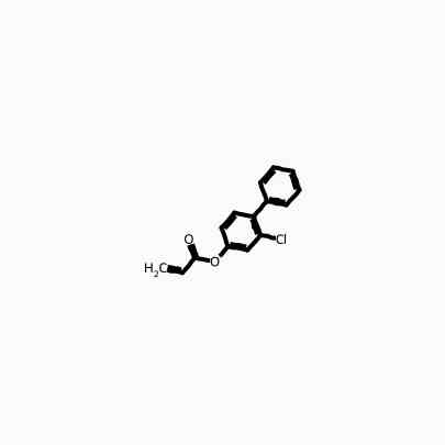 C=CC(=O)Oc1ccc(-c2ccccc2)c(Cl)c1